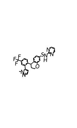 Cn1nccc1-c1cc(C(F)(F)F)ccc1C1CCOc2cc(SNc3ncccn3)ccc21